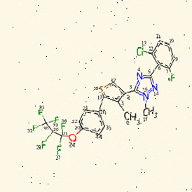 Cc1c(-c2nc(-c3c(F)cccc3Cl)nn2C)csc1-c1ccc(OC(F)(F)C(F)C(F)(F)F)cc1